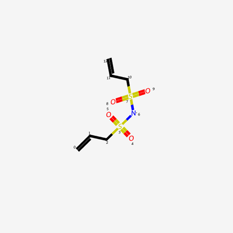 C=CCS(=O)(=O)[N]S(=O)(=O)CC=C